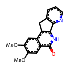 COc1cc2c3c([nH]c(=O)c2cc1OC)-c1ncccc1C3